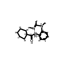 CN=C(C)N(C)c1ccccc1NC(=O)C1CCCCC1